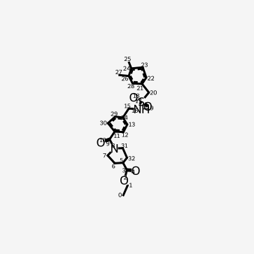 CCOC(=O)C1CCN(C(=O)c2ccc(CNS(=O)(=O)Cc3ccc(C)c(C)c3)cc2)CC1